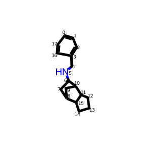 c1ccc(CNC2CC3CC2C2CCCC32)cc1